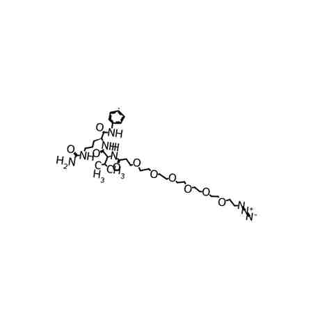 CC(C)[C@H](NC(=O)CCOCCOCCOCCOCCOCCOCCN=[N+]=[N-])C(=O)N[C@@H](CCCNC(N)=O)C(=O)Nc1cc[c]cc1